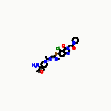 C=N/C(=C\N=C(/C)N1CCC2(CC1)CO[C@@H](C)[C@H]2N)Sc1ccc2ncn(CC(=O)N3CCCCC3)c(=O)c2c1Cl